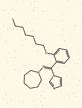 CCCCCCCOc1ccccc1C(=NN1CCCCCC1)n1ccnc1